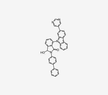 O=C1c2c(cccc2-n2c3ccccc3c3ccc(-c4cncnc4)cc32)C(O)N1c1ccc(-c2ccccc2)cc1